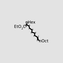 CCCCCCCCC=CCCCCCCC(CCCCCC)C(=O)OCC